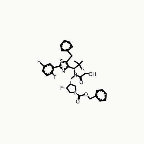 C[C@H](O)C(=O)N(C[C@@H]1CN(C(=O)OCc2ccccc2)C[C@@H]1F)[C@@H](c1nc(-c2cc(F)ccc2F)sc1Cc1ccccc1)C(C)(C)C